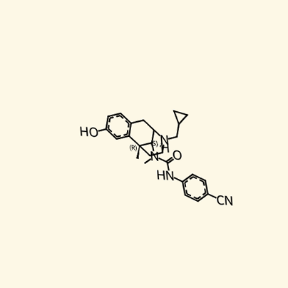 CN(C(=O)Nc1ccc(C#N)cc1)[C@@H]1C2Cc3ccc(O)cc3[C@@]1(C)CCN2CC1CC1